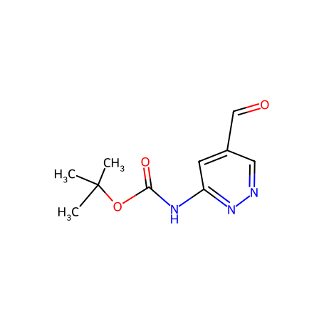 CC(C)(C)OC(=O)Nc1cc(C=O)cnn1